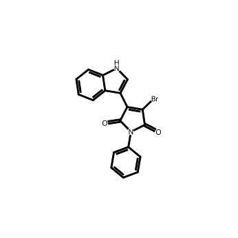 O=C1C(Br)=C(c2c[nH]c3ccccc23)C(=O)N1c1ccccc1